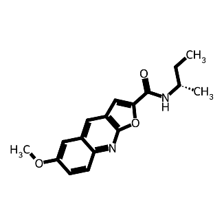 CC[C@H](C)NC(=O)c1cc2cc3cc(OC)ccc3nc2o1